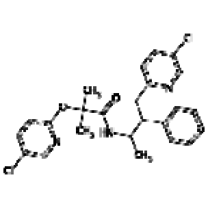 CC(NC(=O)C(C)(C)Oc1ccc(Cl)cn1)C(Cc1ccc(Cl)cn1)c1ccccc1